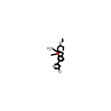 CCO[C@H]1CC[C@]2(CC1)Cc1ccc(-c3cncc(Cl)c3)cc1C21N=C(C)C(N)=N1